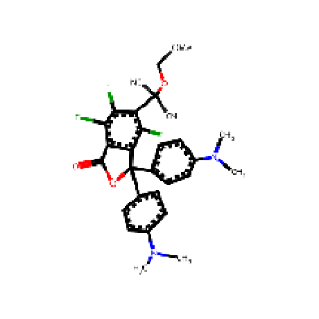 COCOC(C#N)(C#N)c1c(F)c(F)c2c(c1F)C(c1ccc(N(C)C)cc1)(c1ccc(N(C)C)cc1)OC2=O